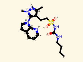 CCCCNC(=O)NS(=O)(=O)CCc1c(C)nn(C)c1-n1ccc2cccnc21